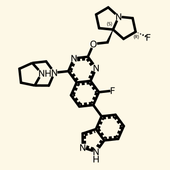 Fc1c(-c2cccc3[nH]ncc23)ccc2c(N3CC4CCC(C3)N4)nc(OC[C@@]34CCCN3C[C@H](F)C4)nc12